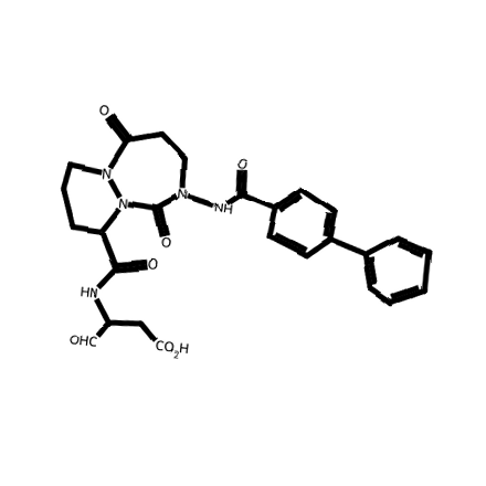 O=CC(CC(=O)O)NC(=O)C1CCCN2C(=O)CCN(NC(=O)c3ccc(-c4ccccc4)cc3)C(=O)N12